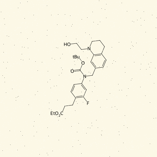 CCOC(=O)CCc1ccc(N(Cc2ccc3c(c2)N(CCO)CCC3)C(=O)OC(C)(C)C)cc1F